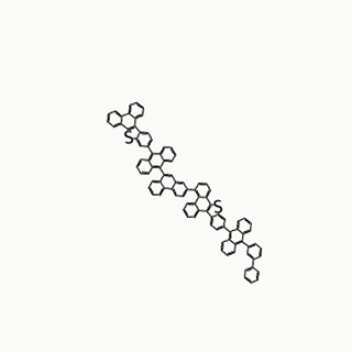 c1ccc(-c2cccc(-c3c4ccccc4c(-c4ccc5c(c4)sc4c6cccc(-c7ccc8c(c7)cc(-c7c9ccccc9c(-c9ccc%10c(c9)sc9c%11ccccc%11c%11ccccc%11c%109)c9ccccc79)c7ccccc78)c6c6ccccc6c54)c4ccccc34)c2)cc1